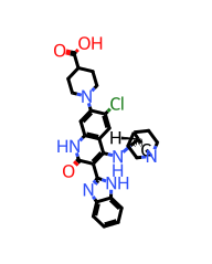 O=C(O)C1CCN(c2cc3[nH]c(=O)c(-c4nc5ccccc5[nH]4)c(N[C@H]4CN5CCC4CC5)c3cc2Cl)CC1